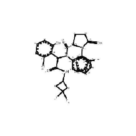 O=C(NC1CC(F)(F)C1)C(c1c(Cl)cccc1Cl)N(C(=O)[C@@H]1CCC(=O)N1c1ncccn1)c1cccc(F)c1